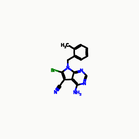 Cc1ccccc1Cn1c(Br)c(C#N)c2c(N)ncnc21